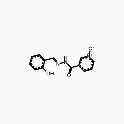 O=C(N/N=C/c1ccccc1O)c1ccc[n+]([O-])c1